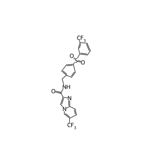 O=C(NCc1ccc(S(=O)(=O)c2cccc(C(F)(F)F)c2)cc1)c1cn2cc(C(F)(F)F)ccc2n1